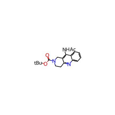 CC(=O)Nc1c2c(nc3ccccc13)CCN(C(=O)OC(C)(C)C)C2